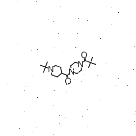 CC(C)(C)C(=O)N1CCN(C(=O)C2CCN(C(C)(C)C)CC2)CC1